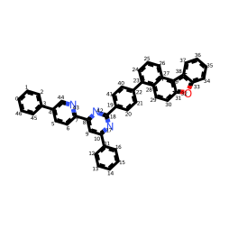 c1ccc(-c2ccc(-c3cc(-c4ccccc4)nc(-c4ccc(-c5cccc6c5ccc5oc7ccccc7c56)cc4)n3)nc2)cc1